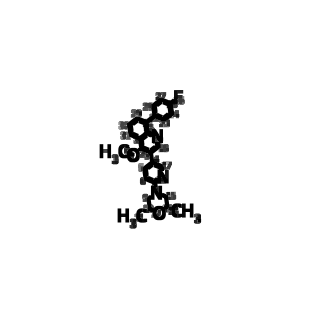 COc1c(-c2ccc(N3C[C@@H](C)O[C@@H](C)C3)nc2)cnc2c(-c3ccc(F)cc3)cccc12